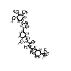 COc1ccc(C2CC(c3cc(OC)c(OC)c(OC)c3)=NO2)cc1OCC(=O)Nc1nc2ccc(C(F)(F)F)cc2s1